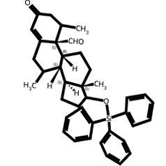 CC1CC2=CC(=O)CC(C)[C@]2(C=O)[C@@H]2CC[C@]3(C)C(O[Si](c4ccccc4)(c4ccccc4)c4ccccc4)CC[C@H]3[C@H]12